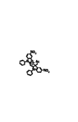 CC(=O)CC1(C)C(/C=C2\Oc3cc([N+](=O)[O-])ccc3N2c2ccccc2)=[N+](c2ccccc2)c2ccc([N+](=O)[O-])cc21